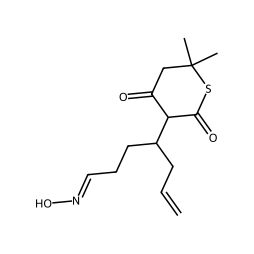 C=CCC(CCC=NO)C1C(=O)CC(C)(C)SC1=O